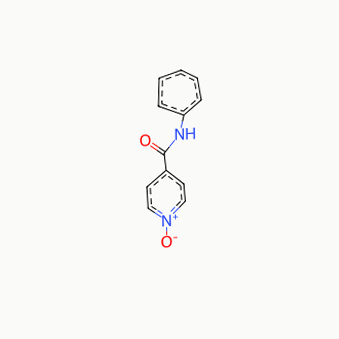 O=C(Nc1ccccc1)c1cc[n+]([O-])cc1